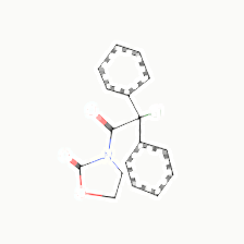 O=C1OCCN1C(=O)C(Cl)(c1ccccc1)c1ccccc1